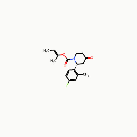 C/C=C(\C)OC(=O)N1CCC(=O)C[C@@H]1c1ccc(F)cc1C